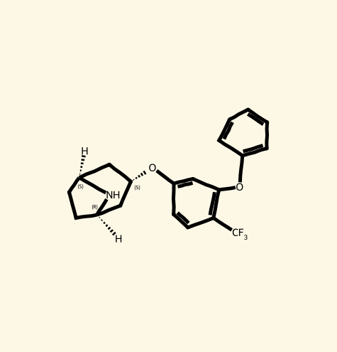 FC(F)(F)c1ccc(O[C@@H]2C[C@H]3CC[C@@H](C2)N3)cc1Oc1ccccc1